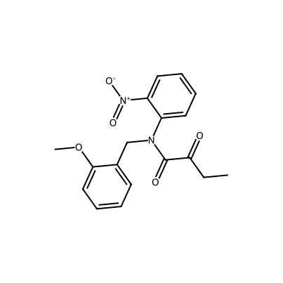 CCC(=O)C(=O)N(Cc1ccccc1OC)c1ccccc1[N+](=O)[O-]